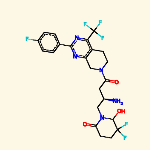 N[C@H](CC(=O)N1CCc2c(nc(-c3ccc(F)cc3)nc2C(F)(F)F)C1)CN1C(=O)CCC(F)(F)C1O